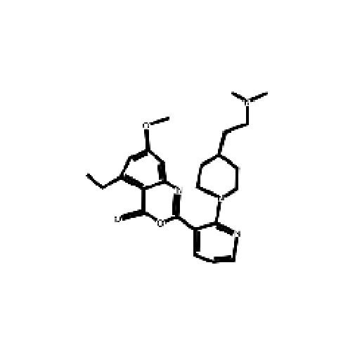 CCc1cc(OC)cc2nc(-c3cccnc3N3CCC(CCN(C)C)CC3)oc(=O)c12